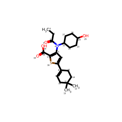 CCC(=O)N(c1cc(C2=CCC(C)(C)CC2)sc1C(=O)O)C1CCC(O)CC1